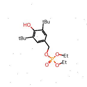 CCOP(=O)(OCC)OCc1cc(C(C)(C)C)c(O)c(C(C)(C)C)c1